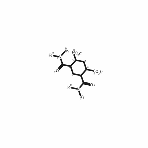 CC(C)N(C(=O)C1CC(C(=O)N(C(C)C)C(C)C)C(C(=O)O)CC1C(=O)O)C(C)C